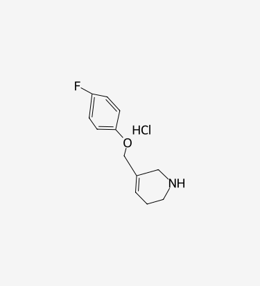 Cl.Fc1ccc(OCC2=CCCNC2)cc1